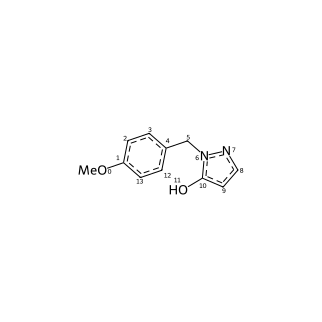 COc1ccc(Cn2nccc2O)cc1